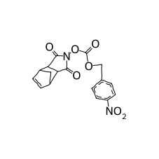 O=C(OCc1ccc([N+](=O)[O-])cc1)ON1C(=O)C2C3C=CC(C3)C2C1=O